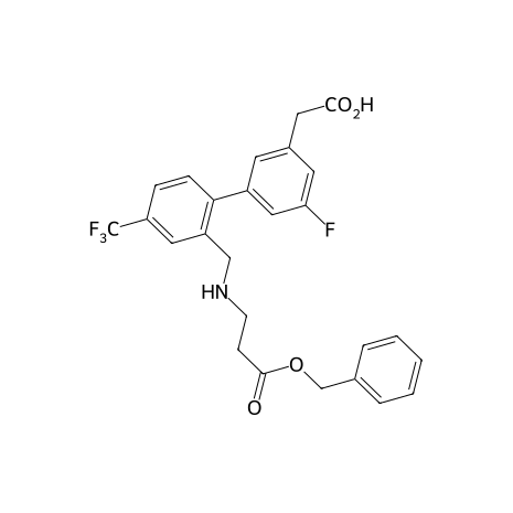 O=C(O)Cc1cc(F)cc(-c2ccc(C(F)(F)F)cc2CNCCC(=O)OCc2ccccc2)c1